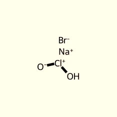 [Br-].[Na+].[O-][Cl+]O